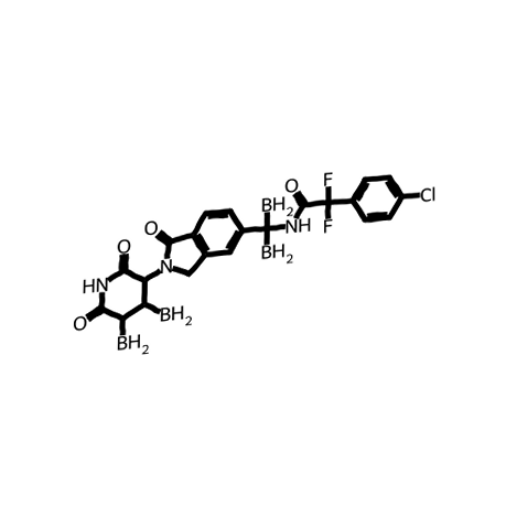 BC1C(=O)NC(=O)C(N2Cc3cc(C(B)(B)NC(=O)C(F)(F)c4ccc(Cl)cc4)ccc3C2=O)C1B